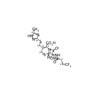 CO[C@@]1(NC(=O)CSC(F)(F)F)C(=O)N2C(C(=O)O)=C(CSc3n[nH]c(C)n3)CS[C@H]21